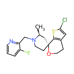 C[C@H]1C[C@@]2(CCN1Cc1ncccc1F)OCCc1cc(Cl)sc12